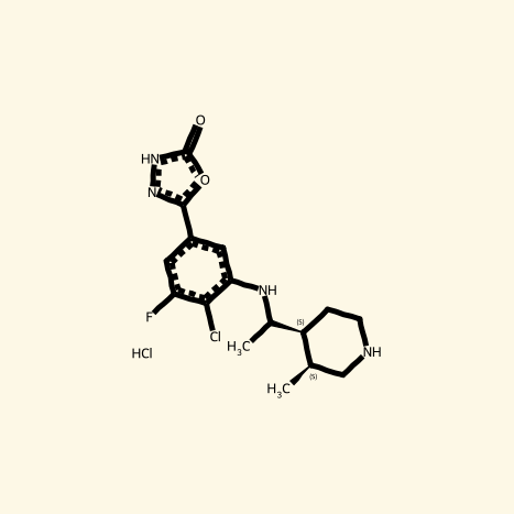 CC(Nc1cc(-c2n[nH]c(=O)o2)cc(F)c1Cl)[C@H]1CCNC[C@H]1C.Cl